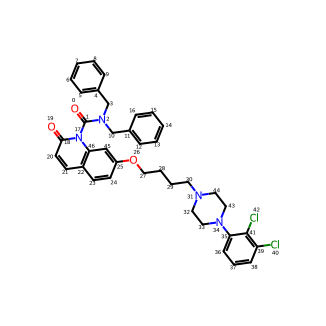 O=C(N(Cc1ccccc1)Cc1ccccc1)n1c(=O)ccc2ccc(OCCCCN3CCN(c4cccc(Cl)c4Cl)CC3)cc21